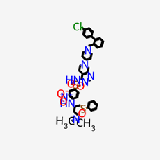 CN(C)C(=O)CC(CSc1ccccc1)Nc1ccc(S(=O)(=O)Nc2ncnc3c2CCN(C2CCN(Cc4ccccc4-c4ccc(Cl)cc4)CC2)C3)cc1[N+](=O)[O-]